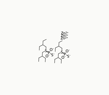 CCC(CC)CS(CC(CC)CC)=P([O-])([O-])[S-].CCC(CC)CS(CC(CC)CC)=P([O-])([O-])[S-].[Zn+2].[Zn+2].[Zn+2]